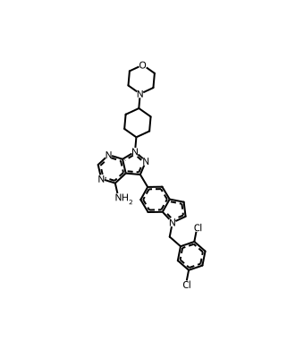 Nc1ncnc2c1c(-c1ccc3c(ccn3Cc3cc(Cl)ccc3Cl)c1)nn2C1CCC(N2CCOCC2)CC1